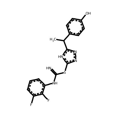 CC(c1ccc(O)cc1)c1nnc(SC(=N)Nc2cccc(F)c2F)[nH]1